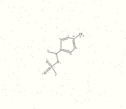 CC(OS(C)(=O)=O)c1ccc(C(F)(F)F)cc1